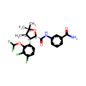 C[C@@H]1[C@@H](c2ccc(F)c(F)c2OC(F)F)[C@@H](C(=O)Nc2cccc(C(N)=O)c2)O[C@]1(C)C(F)(F)F